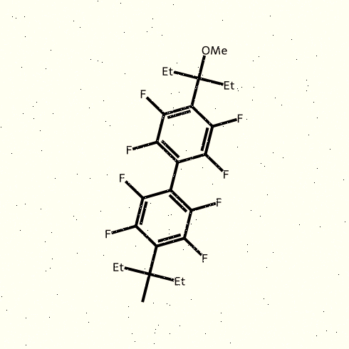 CCC(C)(CC)c1c(F)c(F)c(-c2c(F)c(F)c(C(CC)(CC)OC)c(F)c2F)c(F)c1F